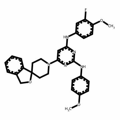 COc1ccc(Nc2nc(Nc3ccc(OC)c(F)c3)cc(N3CCC4(CC3)OCc3ccccc34)n2)cc1